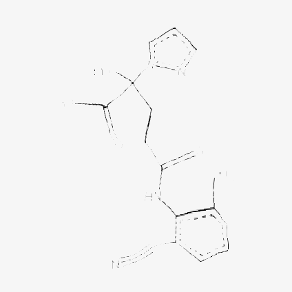 Cc1cccc(C#N)c1NC(=O)CCC(C)(C(=O)O)n1cccn1